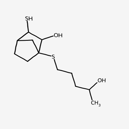 CC(O)CCCSC12CCC(C1)C(S)C2O